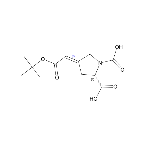 CC(C)(C)OC(=O)/C=C1\C[C@@H](C(=O)O)N(C(=O)O)C1